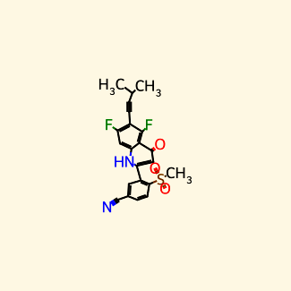 CC(C)C#Cc1c(F)cc2[nH]c(-c3cc(C#N)ccc3S(C)(=O)=O)cc(=O)c2c1F